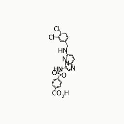 O=C(O)c1ccc(S(=O)(=O)Nc2cnc3ccc(NCc4ccc(Cl)c(Cl)c4)nn23)cc1